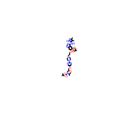 Cc1n[nH]c(Nc2ncnc3cc(OCCCN4CCN(c5ncc(OCC6CN(C(=O)OC(C)(C)C)C(C)CO6)cn5)CC4)c(S(=O)(=O)C(C)(C)C)cc23)c1C